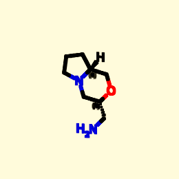 NC[C@@H]1CN2CCC[C@@H]2CO1